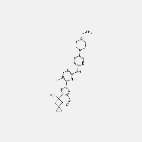 CCN1CCN(c2ccc(Nc3ncc(F)c(-c4cc(C=O)c(C5(C)CC6(CC6)C5)s4)n3)nc2)CC1